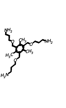 Cc1c(COCCCN)c(C)c(COCCCN)c(C)c1COCCCN